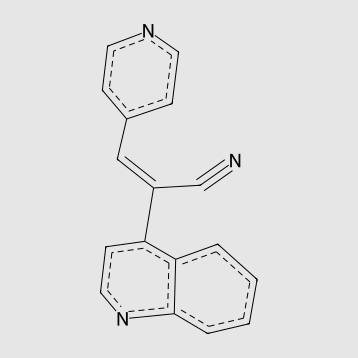 N#CC(=Cc1ccncc1)c1ccnc2ccccc12